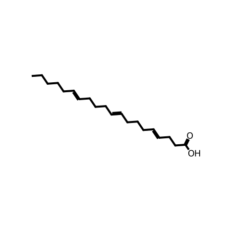 CCCCCC=CCCCC=CCCCC=CCCC(=O)O